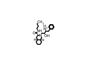 CCCCNC(=O)[C@@H]1C[C@@H]2CCCC[C@@H]2CN1C[C@@H](O)[C@@H](N)Cc1ccccc1